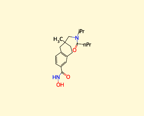 CCCC(=O)N(CC1(C)CCc2cc(C(=O)NO)ccc2C1)C(C)C